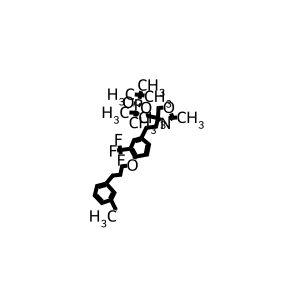 CCc1cccc(CCCOc2ccc(CCC3(COP(=O)(C(C)(C)C)C(C)(C)C)COC(C)=N3)cc2C(F)(F)F)c1